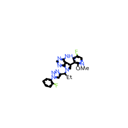 CCC(c1cn(-c2ccccc2F)nn1)n1cc(-c2cc(F)cnc2OC)c2c(N)ncnc21